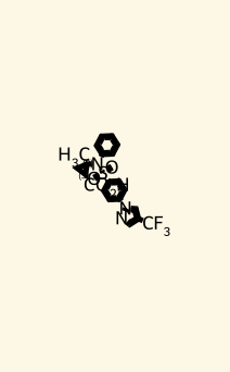 C[C@@]1(N(c2ccccc2)S(=O)(=O)c2ccc(-n3cc(C(F)(F)F)cn3)cc2)C[C@@H]1C(=O)O